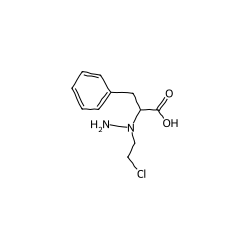 NN(CCCl)C(Cc1ccccc1)C(=O)O